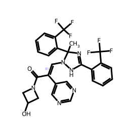 CC1(c2ccccc2C(F)(F)F)N=C(c2ccccc2C(F)(F)F)NN1/C=C(/C(=O)N1CC(O)C1)c1cncnc1